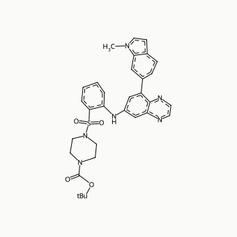 Cn1ccc2ccc(-c3cc(Nc4ccccc4S(=O)(=O)N4CCN(C(=O)OC(C)(C)C)CC4)cc4nccnc34)cc21